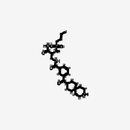 CCCCS(=O)(=O)NC(CNC(=O)c1cccc(C(=O)C2CCC3(CCNCC3)CC2)c1)C(=O)O